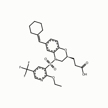 CCOc1ncc(C(F)(F)F)cc1S(=O)(=O)N1C[C@H](CCC(=O)O)Oc2ccc(C=C3CCCCC3)cc21